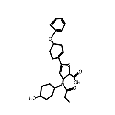 CCC(=O)N(C1CCC(O)CC1)C1C=C(C2=CCC(Oc3ccccc3)CC2)SC1C(=O)O